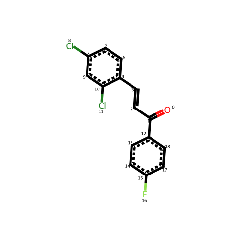 O=C(C=Cc1ccc(Cl)cc1Cl)c1ccc(F)cc1